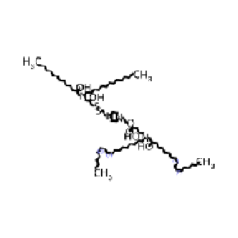 CCCCC/C=C\C/C=C\CCCCCCC(O)CN(CCCC(=O)OCCN1CCN(CCSSCCCN(CC(O)CCCCCCCCCCCC)CC(O)CCCCCCCCCCCC)CC1)CC(O)CCCCCC/C=C\C/C=C\CCCCC